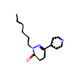 CCCCCCN1N=C(c2ccncc2)CCC1=O